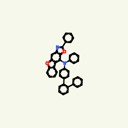 c1ccc(-c2nc3cc4oc5ccccc5c4c(N(c4ccccc4)c4ccc(-c5ccccc5-c5ccccc5)cc4)c3o2)cc1